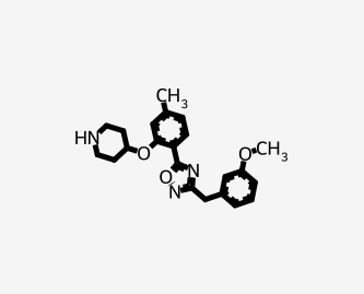 COc1cccc(Cc2noc(-c3ccc(C)cc3OC3CCNCC3)n2)c1